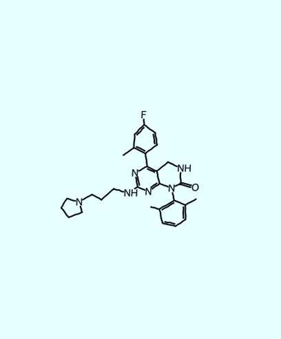 Cc1cc(F)ccc1-c1nc(NCCCN2CCCC2)nc2c1CNC(=O)N2c1c(C)cccc1C